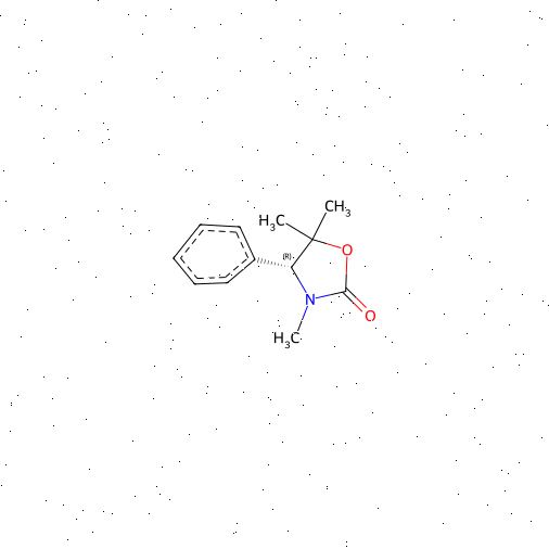 CN1C(=O)OC(C)(C)[C@H]1c1ccccc1